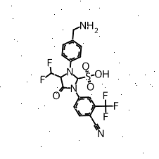 N#Cc1ccc(N2C(=O)C(C(F)F)N(c3ccc(CN)cc3)C2S(=O)(=O)O)cc1C(F)(F)F